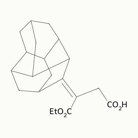 CCOC(=O)/C(CC(=O)O)=C1\C2CC3C4CC5CC3C1C(C5)C4C2